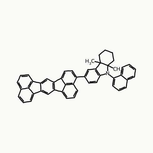 CC12CCCCC1(C)N(c1cccc3ccccc13)c1ccc(-c3ccc4c5cc6c(cc5c5cccc3c54)c3cccc4cccc6c43)cc12